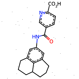 O=C(Nc1cc2c3c(c1)CCCC3CCC2)c1ccc(C(=O)O)nc1